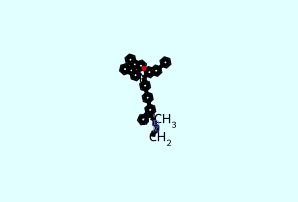 C=C/C=C\C=C(/C)n1c2ccccc2c2cc(-c3ccc(-c4ccc(N(c5ccc6c(c5)C5(c7ccccc7-c7ccccc75)c5ccccc5-6)c5ccc6cc(-c7ccccc7)ccc6c5)cc4)cc3)ccc21